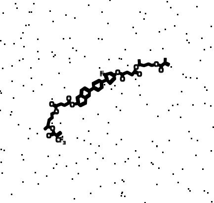 C=C(C)C(=O)OCCCC(C)OC(=O)CCC(=O)Oc1ccc(-c2ccc(-c3ccc4cc(OC(=O)CCC(=O)OCCCC(C)OC(=O)C(=C)C(F)(F)F)ccc4c3)cc2)c(F)c1